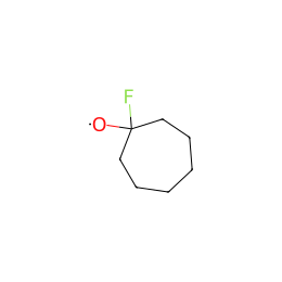 [O]C1(F)CCCCCC1